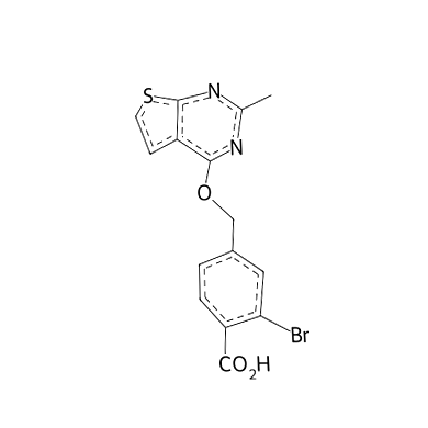 Cc1nc(OCc2ccc(C(=O)O)c(Br)c2)c2ccsc2n1